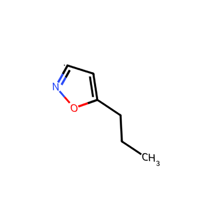 CCCc1c[c]no1